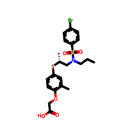 CCCN(C[C@@H](C)Sc1ccc(OCC(=O)O)c(C)c1)S(=O)(=O)c1ccc(Br)cc1